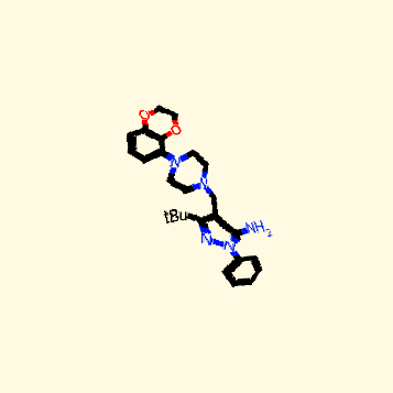 CC(C)(C)c1nn(-c2ccccc2)c(N)c1CN1CCN(c2cccc3c2OCCO3)CC1